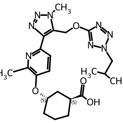 Cc1nc(-c2nnn(C)c2COc2nnn(CC(C)C)n2)ccc1O[C@H]1CCC[C@H](C(=O)O)C1